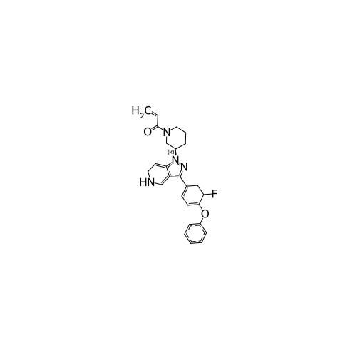 C=CC(=O)N1CCC[C@@H](n2nc(C3=CC=C(Oc4ccccc4)C(F)C3)c3c2=CCNC=3)C1